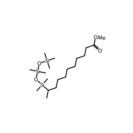 COC(=O)CCCCCCCCC(C)[Si](C)(C)O[Si](C)(C)O[Si](C)(C)C